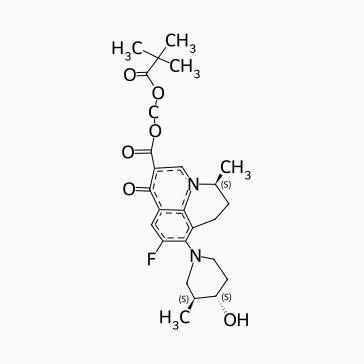 C[C@H]1CN(c2c(F)cc3c(=O)c(C(=O)OCOC(=O)C(C)(C)C)cn4c3c2CC[C@@H]4C)CC[C@@H]1O